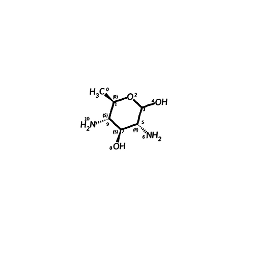 C[C@H]1OC(O)[C@H](N)[C@@H](O)[C@@H]1N